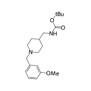 COc1cccc(CN2CCC(CNC(=O)OC(C)(C)C)CC2)c1